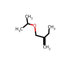 C=C(CC)COC(C)C